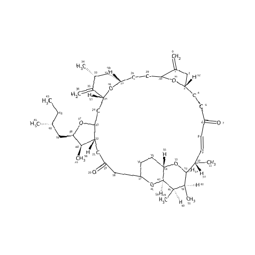 C=C1C[C@@H]2CCC(=O)/C=C/[C@H](C)[C@@H]3O[C@H]4CCC(CC(=O)C[C@H]5C(C[C@H]6O[C@@H](CCC1O2)C[C@@H](C)C6=C)O[C@H](C[C@H](C)CC)[C@@H]5C)O[C@@H]4[C@H](C)[C@@H]3C